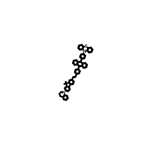 CC1(C)c2cc(/C=C/c3ccc(-c4c5ccccc5c(-c5ccc(N6c7ccccc7Sc7ccccc76)cc5)c5ccccc45)cc3)ccc2-c2ccc(N3CCCc4ccccc43)cc21